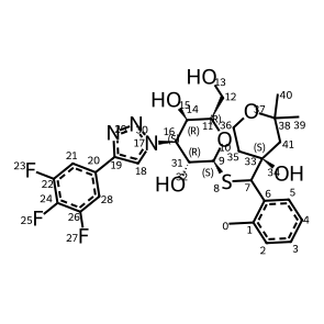 Cc1ccccc1C(S[C@@H]1O[C@H](CO)[C@H](O)[C@H](n2cc(-c3cc(F)c(F)c(F)c3)nn2)[C@H]1O)[C@]1(O)CCOC(C)(C)C1